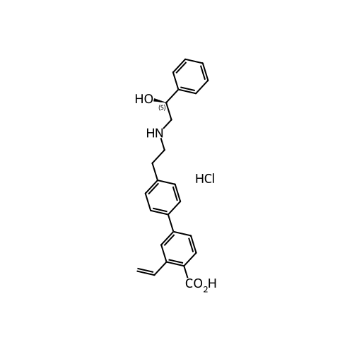 C=Cc1cc(-c2ccc(CCNC[C@@H](O)c3ccccc3)cc2)ccc1C(=O)O.Cl